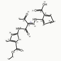 CCOC(=O)c1sc(NC(=O)/C(=N/Nc2ccccc2C(=O)O)C(C)=O)nc1C